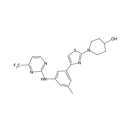 Cc1cc(Nc2nccc(C(F)(F)F)n2)cc(-c2csc(N3CCC(O)CC3)n2)c1